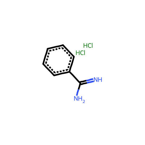 Cl.Cl.N=C(N)c1ccccc1